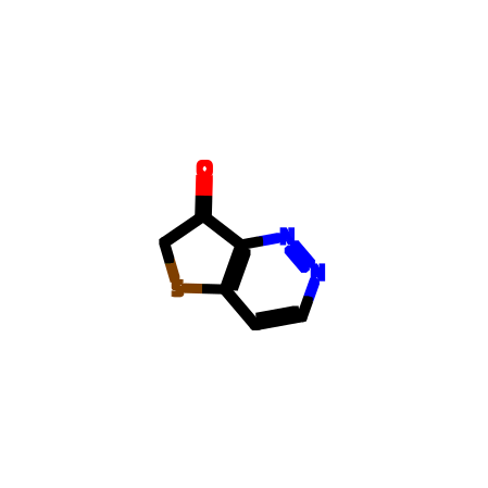 O=C1CSc2ccnnc21